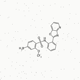 Bc1ccc(S(=O)(=O)Nc2ccccc2-c2nc3ncccc3o2)c(OC(F)(F)F)c1